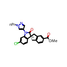 CCCn1cc(N2C(=O)[C@]3(Cc4ccc(C(=O)OC)cc4C3)c3ccc(Cl)cc32)cn1